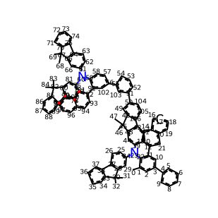 Cc1cc(-c2ccccc2)cc(-c2ccc3ccccc3c2)c1N(c1ccc2c(c1)C(C)(C)c1ccccc1-2)c1ccc2c(c1)C(C)(C)c1cc(-c3cccc(-c4ccc(N(c5ccc6c(c5)C(C)(C)c5ccccc5-6)c5ccc6c(c5)C(C)(C)c5ccccc5-6)c(-c5ccc6ccccc6c5)c4)c3)ccc1-2